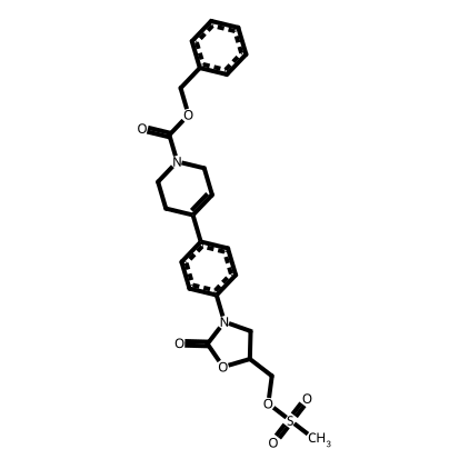 CS(=O)(=O)OCC1CN(c2ccc(C3=CCN(C(=O)OCc4ccccc4)CC3)cc2)C(=O)O1